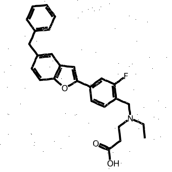 CCN(CCC(=O)O)Cc1ccc(-c2cc3cc(Cc4ccccc4)ccc3o2)cc1F